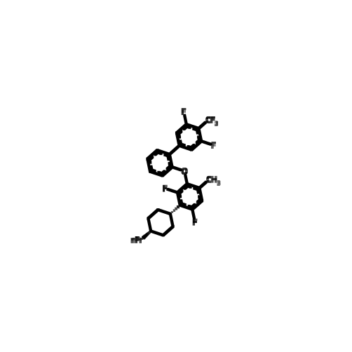 CCC[C@H]1CC[C@H](c2c(F)cc(C)c(Oc3ccccc3-c3cc(F)c(C(F)(F)F)c(F)c3)c2F)CC1